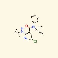 C#CC(C)(CC)N(C(=O)c1cc(Cl)cnc1NC1(C)CC1)c1ccccc1